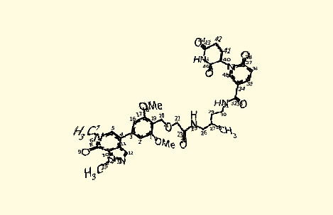 COc1cc(-c2cn(C)c(=O)c3c2cnn3C)cc(OC)c1COCC(=O)NCC(C)CCNC(=O)c1ccc(=O)n(C2CCC(=O)NC2=O)c1